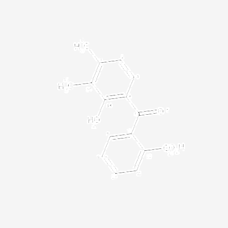 Cc1ccc(C(=O)c2ccccc2C(=O)O)c(O)c1C